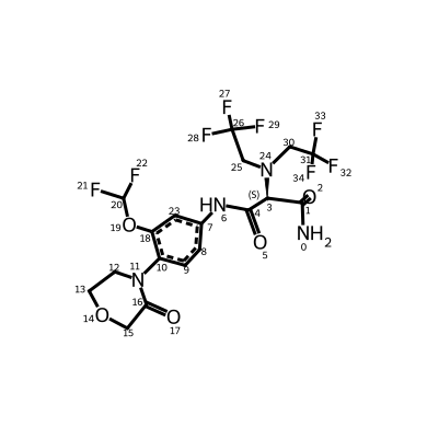 NC(=O)[C@@H](C(=O)Nc1ccc(N2CCOCC2=O)c(OC(F)F)c1)N(CC(F)(F)F)CC(F)(F)F